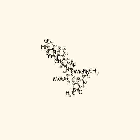 COc1cc(-c2cn(C)c(=O)c3cnc(-c4cnn(C)c4)cc23)cc(OC)c1CN1CC(F)(F)c2cc(-c3cccc4c3n(C)c(=O)n4C3CCC(=O)NC3=O)ccc21